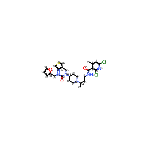 Cc1cc(Cl)nc(Cl)c1C(=O)NCCC(C)N1CCC(N(Cc2ccsc2)C(=O)NCc2ccco2)CC1